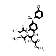 CCC(=O)Nc1cc([S+]([O-])c2cccc(Cl)c2)ccc1NC(=NC(=O)OC)NC(=O)OC